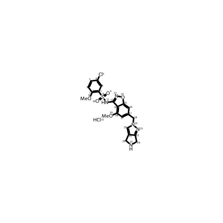 COc1ccc(Cl)cc1S(=O)(=O)Nc1noc2cc(Cn3cc4c(n3)CNC4)cc(OC)c12.Cl